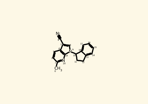 Cc1ccc2c(C#N)cn(C3CCc4ccccc43)c2n1